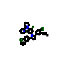 O=[N+]([O-])c1cc([C@H]2CC[C@H](c3ccc(Cl)c([N+](=O)[O-])c3)N2c2cc(F)c(N3CCCCC3c3ccccn3)c(F)c2)ccc1Cl